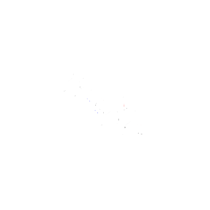 CCCOc1oc(=O)c2cc(NC(=S)NCc3ccccc3)ccc2c1Cl